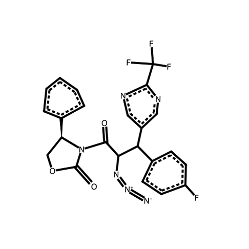 [N-]=[N+]=NC(C(=O)N1C(=O)OC[C@H]1c1ccccc1)C(c1ccc(F)cc1)c1cnc(C(F)(F)F)nc1